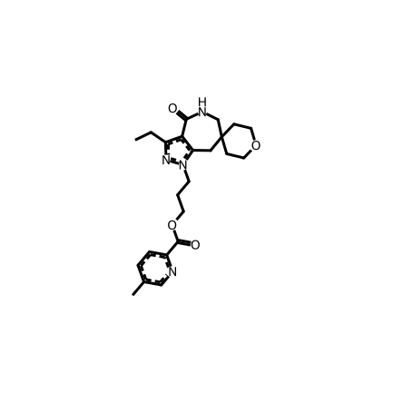 CCc1nn(CCCOC(=O)c2ccc(C)cn2)c2c1C(=O)NCC1(CCOCC1)C2